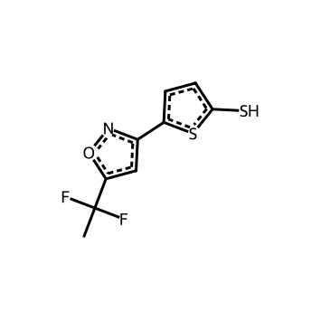 CC(F)(F)c1cc(-c2ccc(S)s2)no1